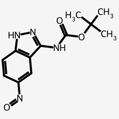 CC(C)(C)OC(=O)Nc1n[nH]c2ccc(N=O)cc12